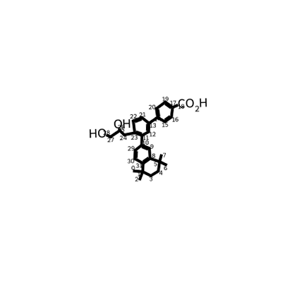 CC1(C)CCC(C)(C)c2cc(-c3cc(-c4ccc(C(=O)O)cc4)ccc3CC(O)CO)ccc21